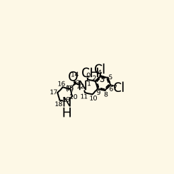 CC1c2c(Cl)cc(Cl)cc2CCN1C(=O)[C@@H]1CCCNC1